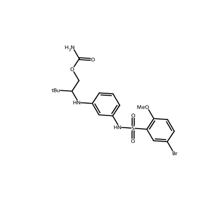 COc1ccc(Br)cc1S(=O)(=O)Nc1cccc(NC(COC(N)=O)C(C)(C)C)c1